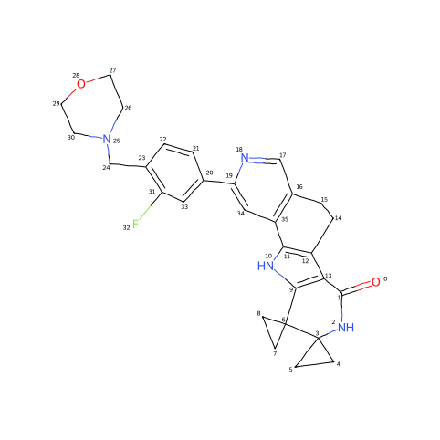 O=C1NC2(CC2)C2(CC2)c2[nH]c3c(c21)CCc1cnc(-c2ccc(CN4CCOCC4)c(F)c2)cc1-3